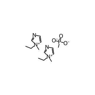 CC[N+]1(C)C=CN=C1.CC[N+]1(C)C=CN=C1.CP(=O)([O-])[O-]